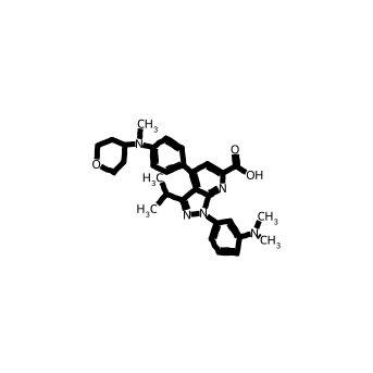 CC(C)c1nn(-c2cccc(N(C)C)c2)c2nc(C(=O)O)cc(-c3ccc(N(C)C4CCOCC4)cc3)c12